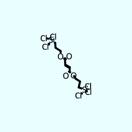 O=C(C=CC(=O)OCCC[Si](Cl)(Cl)Cl)OCCC[Si](Cl)(Cl)Cl